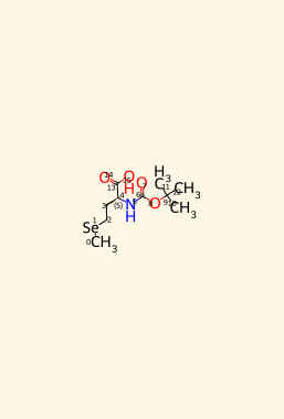 C[Se]CC[C@H](NC(=O)OC(C)(C)C)C(=O)O